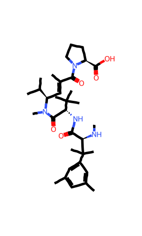 CN[C@H](C(=O)N[C@H](C(=O)N(C)[C@H](/C=C(\C)C(=O)N1CCC[C@H]1C(=O)O)C(C)C)C(C)(C)C)C(C)(C)c1cc(C)cc(C)c1